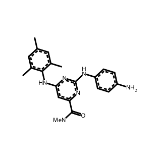 CNC(=O)c1cc(Nc2c(C)cc(C)cc2C)nc(Nc2ccc(N)cc2)n1